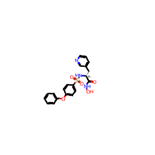 O=C(NO)[C@@H](Cc1cccnc1)NS(=O)(=O)c1ccc(Oc2ccccc2)cc1